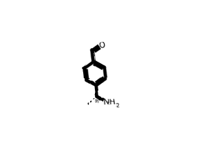 C[C@@H](N)c1ccc(C=O)cc1